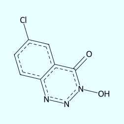 O=c1c2cc(Cl)ccc2nnn1O